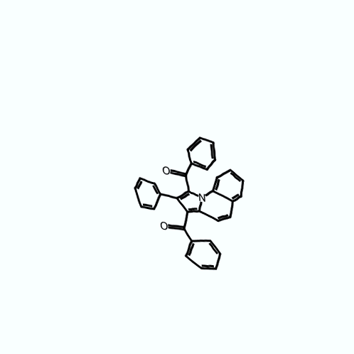 O=C(c1ccccc1)c1c(-c2ccccc2)c(C(=O)c2ccccc2)n2c1ccc1ccccc12